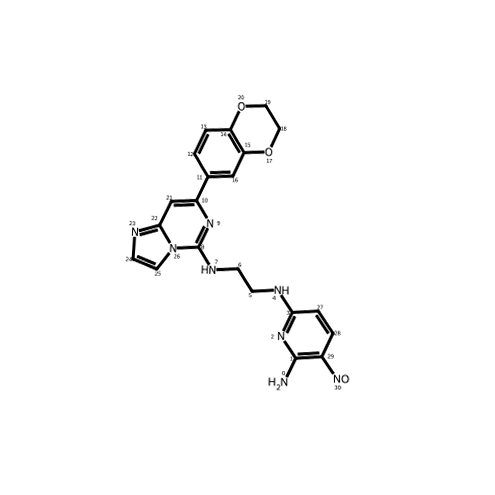 Nc1nc(NCCNc2nc(-c3ccc4c(c3)OCCO4)cc3nccn23)ccc1N=O